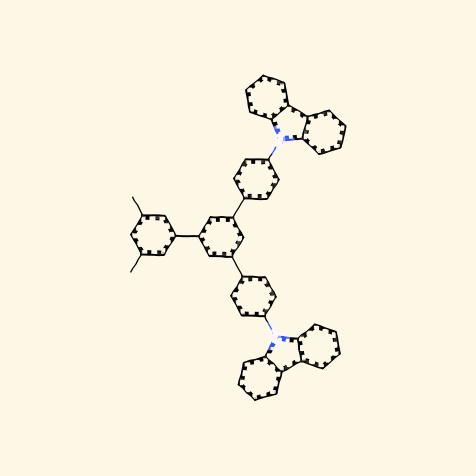 Cc1cc(C)cc(-c2cc(-c3ccc(-n4c5ccccc5c5ccccc54)cc3)cc(-c3ccc(-n4c5ccccc5c5ccccc54)cc3)c2)c1